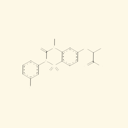 CC(Oc1ccc2c(c1)N(C)C(=O)N(c1cccc(Cl)c1)S2(=O)=O)C(=O)O